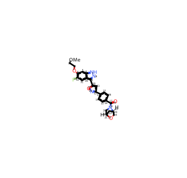 COCCOc1cc2[nH]nc(-c3cc(-c4ccc(C(=O)N5C[C@H]6C[C@@H]5CO6)cc4)no3)c2cc1F